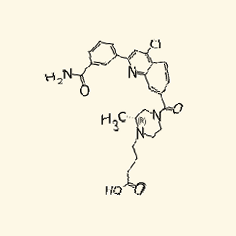 C[C@@H]1CN(C(=O)c2ccc3c(Cl)cc(-c4cccc(C(N)=O)c4)nc3c2)CCN1CCCC(=O)O